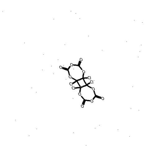 O=C1OC(=O)OC2(Cl)C(Cl)(O1)C1(Cl)OC(=O)OC(=O)OC21Cl